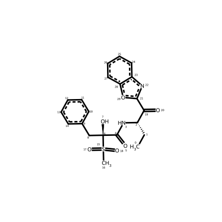 CC[C@H](NC(=O)[C@@](O)(Cc1ccccc1)S(C)(=O)=O)C(=O)c1nc2ccccc2o1